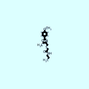 CCCNC(=O)CSCc1nc(-c2ccc(OC)cc2)oc1C